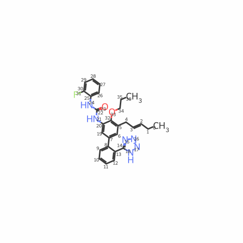 CC/C=C/Cc1cc(-c2ccccc2-c2nnn[nH]2)cc(NC(=O)Nc2ccccc2F)c1OCCC